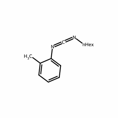 CCCCCCN=C=Nc1ccccc1C